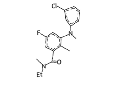 CCN(C)C(=O)c1cc(F)cc(N(C)c2cccc(Cl)c2)c1C